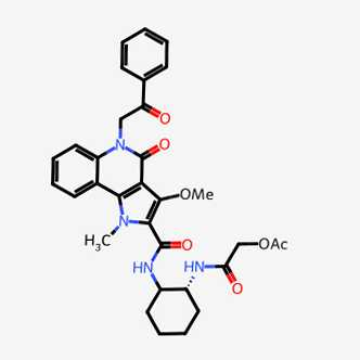 COc1c(C(=O)NC2CCCC[C@H]2NC(=O)COC(C)=O)n(C)c2c1c(=O)n(CC(=O)c1ccccc1)c1ccccc21